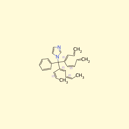 C=C/C=C\C(=C/C=C)C(C(/C=C\C)=C/C=C\C)(c1ccccc1)n1ccnc1